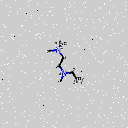 CC(=O)N(C)CCN(C)CC(C)C